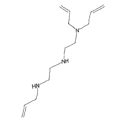 C=CCNCCNCCN(CC=C)CC=C